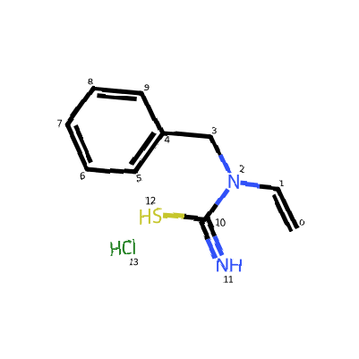 C=CN(Cc1ccccc1)C(=N)S.Cl